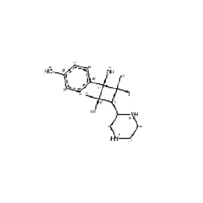 CC1(C)C(C2CNCCN2)C(C)(C)C1(O)c1ccc(O)cc1